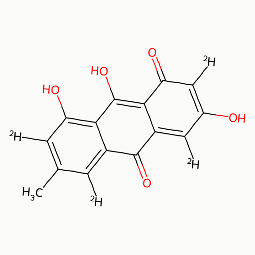 [2H]C1=C(O)C([2H])=C2C(=O)c3c([2H])c(C)c([2H])c(O)c3C(O)=C2C1=O